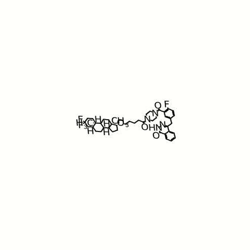 C[C@@]12CCC(F)(F)C[C@H]1CC[C@H]1[C@H]2CC[C@]2(C)[C@@H]1CC[C@H]2OCCCCC(=O)N1CCN(C(=O)c2cc(Cc3n[nH]c(=O)c4ccccc34)ccc2F)CC1